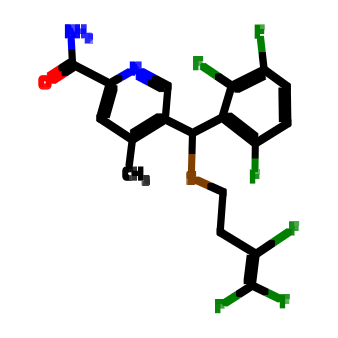 Cc1cc(C(N)=O)ncc1C(SCCC(F)=C(F)F)c1c(F)ccc(F)c1F